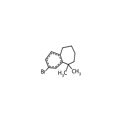 CC1(C)CCCCc2ccc(Br)cc21